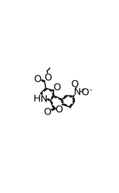 CCOC(=O)c1c[nH]c2c(=O)oc3ccc([N+](=O)[O-])cc3c2c1=O